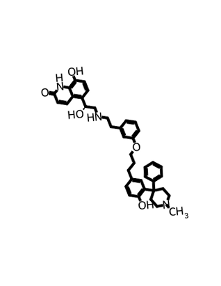 CN1CCC(c2ccccc2)(c2cc(CCCOc3cccc(CCNC[C@H](O)c4ccc(O)c5[nH]c(=O)ccc45)c3)ccc2O)CC1